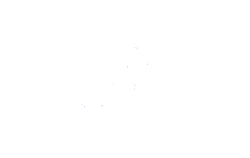 Nc1ccc(-c2nc(CS(=O)(=O)c3ccccc3)cc(N3CCOCC3)n2)cc1